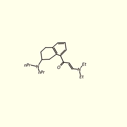 CCCN(CCC)C1CCc2cccc(C(=O)/C=C/N(CC)CC)c2C1